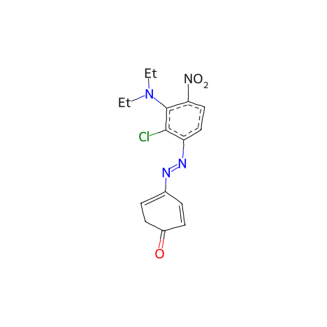 CCN(CC)c1c([N+](=O)[O-])ccc(N=NC2=CCC(=O)C=C2)c1Cl